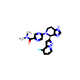 CN(C)C(=O)c1cnc(N2CCc3[nH]cnc3[C@H]2c2cc3c(F)cccn3n2)cn1